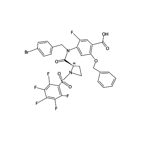 O=C(O)c1cc(F)c(N(Cc2ccc(Br)cc2)C(=O)[C@H]2CCN2S(=O)(=O)c2c(F)c(F)c(F)c(F)c2F)cc1OCc1ccccc1